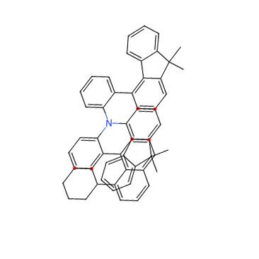 CC1(C)c2ccccc2-c2c(-c3ccccc3N(c3ccccc3-c3cccc4cccc(C5CCCCC5)c34)c3cccc4c3-c3ccccc3C4(C)C)cccc21